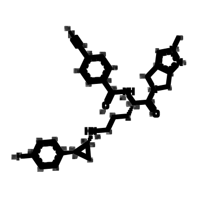 Cn1cc2c(n1)CN(C(=O)[C@H](CCCN[C@@H]1C[C@H]1c1ccc(F)cc1)NC(=O)c1ccc(C#N)cc1)C2